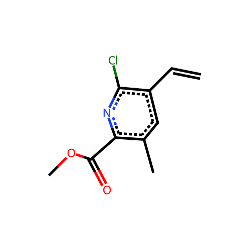 C=Cc1cc(C)c(C(=O)OC)nc1Cl